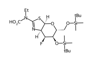 CCN(C(=O)O)C1=N[C@@H]2[C@H](F)[C@H](O[Si](C)(C)C(C)(C)C)[C@@H](CO[Si](C)(C)C(C)(C)C)O[C@@H]2S1